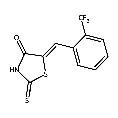 O=C1NC(=S)S/C1=C\c1ccccc1C(F)(F)F